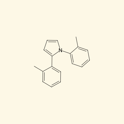 Cc1ccccc1-c1cccn1-c1ccccc1C